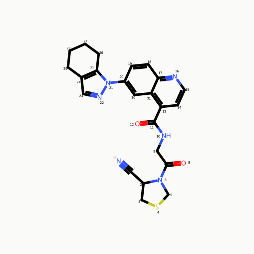 N#CC1CSCN1C(=O)CNC(=O)c1ccnc2ccc(-n3ncc4c3CCCC4)cc12